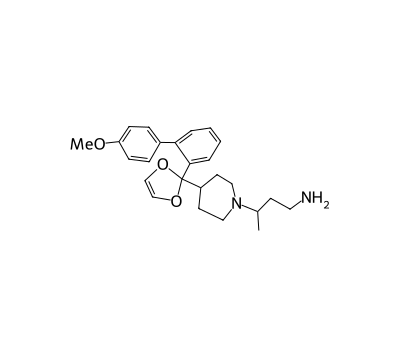 COc1ccc(-c2ccccc2C2(C3CCN(C(C)CCN)CC3)OC=CO2)cc1